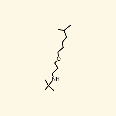 CC(C)CCCCOCCCNC(C)(C)C